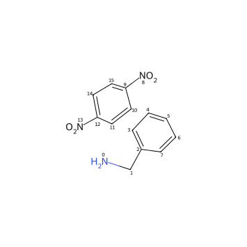 NCc1ccccc1.O=[N+]([O-])c1ccc([N+](=O)[O-])cc1